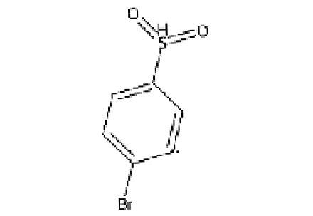 O=[SH](=O)c1c[c]c(Br)cc1